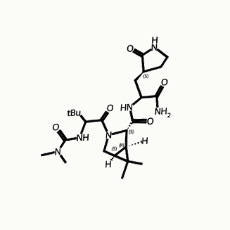 CN(C)C(=O)NC(C(=O)N1C[C@H]2[C@@H]([C@H]1C(=O)NC(C[C@@H]1CCNC1=O)C(N)=O)C2(C)C)C(C)(C)C